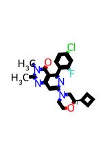 Cc1nc2cc(N3CCO[C@H](C4CCC4)C3)nc(-c3ccc(Cl)cc3F)c2c(=O)n1C